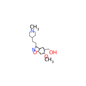 COc1cc2onc(CCC3CCN(C)CC3)c2cc1CO